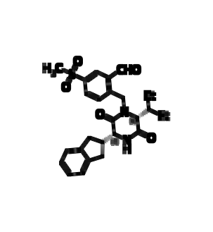 CCC(CC)[C@@H]1C(=O)N[C@H](C2Cc3ccccc3C2)C(=O)N1Cc1ccc(S(C)(=O)=O)cc1C=O